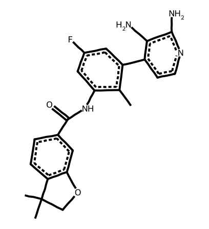 Cc1c(NC(=O)c2ccc3c(c2)OCC3(C)C)cc(F)cc1-c1ccnc(N)c1N